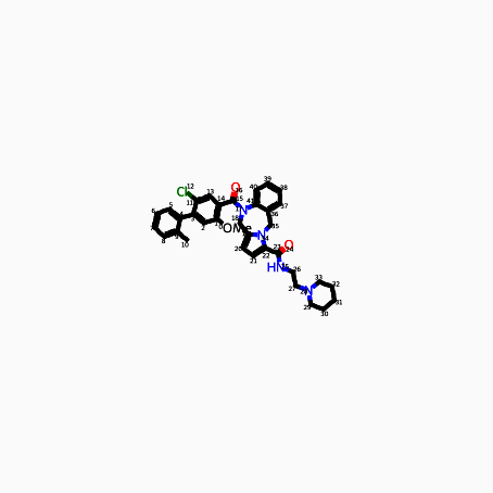 COc1cc(-c2ccccc2C)c(Cl)cc1C(=O)N1Cc2ccc(C(=O)NCCN3CCCCC3)n2Cc2ccccc21